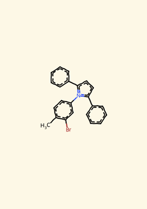 Cc1ccc(-n2c(-c3ccccc3)ccc2-c2ccccc2)cc1Br